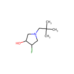 CC(C)(C)CN1CC(O)C(F)C1